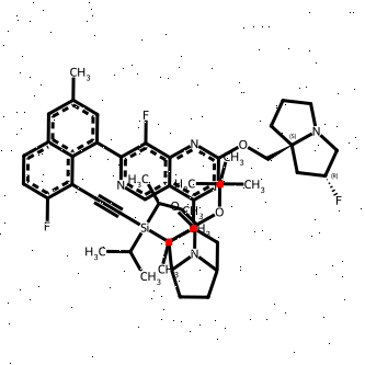 Cc1cc(-c2ncc3c(N4CC5CCC(C4)N5C(=O)OC(C)(C)C)nc(OC[C@@]45CCCN4C[C@H](F)C5)nc3c2F)c2c(C#C[Si](C(C)C)(C(C)C)C(C)C)c(F)ccc2c1